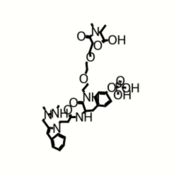 CNN(C)Cc1cc2ccccc2n1CCC(=O)NC(Cc1ccc(OP(=O)(O)O)cc1)C(=O)NCCOCCOCCC(=O)N(C)C(C)C(=O)O